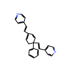 C(=Cc1ccncc1)C1=CCC(C=Cc2ccncc2)(c2ccccc2)C=C1